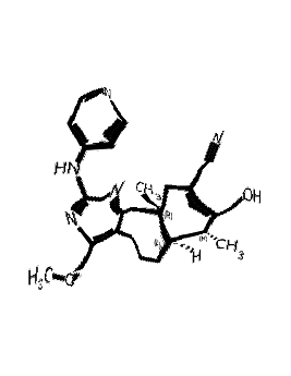 COc1nc(Nc2ccncc2)nc2c1CC[C@@H]1[C@@H](C)C(O)=C(C#N)C[C@@]21C